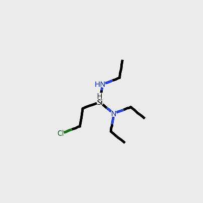 CCN[SiH](CCCl)N(CC)CC